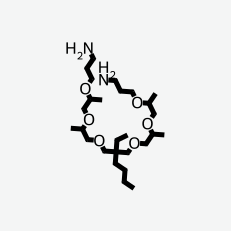 CCCCC(CC)(COCC(C)OCC(C)OCCCN)COCC(C)OCC(C)OCCCN